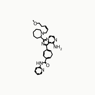 COCC/C=C\CN1CCCCCC1c1nc(C2=CCC=C(C(=O)Nc3ccccn3)C=C2)c2c(N)nccn12